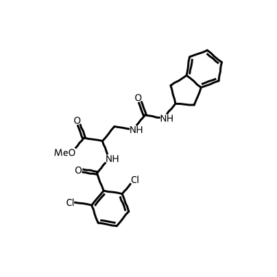 COC(=O)C(CNC(=O)NC1Cc2ccccc2C1)NC(=O)c1c(Cl)cccc1Cl